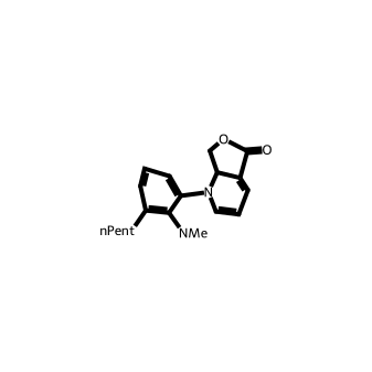 CCCCCc1cccc(N2C=CC=C3C(=O)OCC32)c1NC